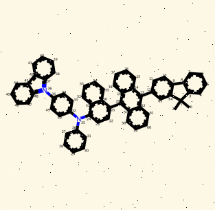 CC1(C)c2ccccc2-c2ccc(-c3c4ccccc4c(-c4ccc(N(c5ccccc5)c5ccc(-n6c7ccccc7c7ccccc76)cc5)c5ccccc45)c4ccccc34)cc21